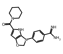 N=C(N)c1ccc(N2COc3cc(C(=O)N4CCCCC4)[nH]c32)cc1